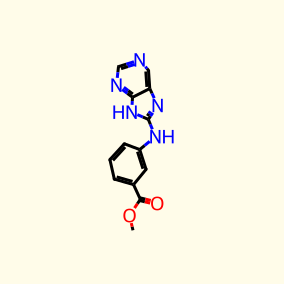 COC(=O)c1cccc(Nc2nc3cncnc3[nH]2)c1